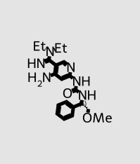 CCN(CC)C(=N)c1cnc(NC(=O)N[C@H](COC)c2ccccc2)cc1N